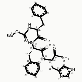 CC(C)(C)OC(=O)N[C@@H](Cc1ccccc1)C(=O)N[C@@H](Cc1ccccc1)C(=O)N[C@@H](Cc1c[nH]cn1)C(N)=O